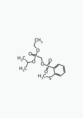 CCOP(=O)(COS(=O)(=O)c1ccccc1SC)OC(C)C